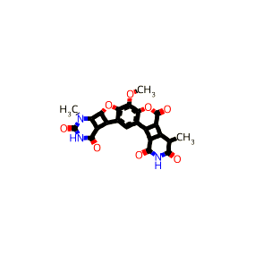 COc1c2c(cc3c1OC(=O)C1C3C3C(=O)NC(=O)C(C)C31)C1C(O2)C2C1C(=O)NC(=O)N2C